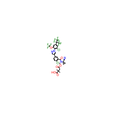 CC(C)(CC(=O)OCN(C(=O)c1cc(-c2cnn(-c3c(Cl)cc(C(F)(C(F)(F)F)C(F)(F)F)cc3OC(F)(F)F)c2)ccc1Cl)C1(C#N)CC1)C(=O)O